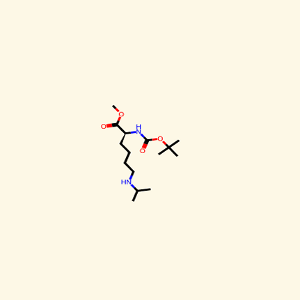 COC(=O)[C@H](CCCCNC(C)C)NC(=O)OC(C)(C)C